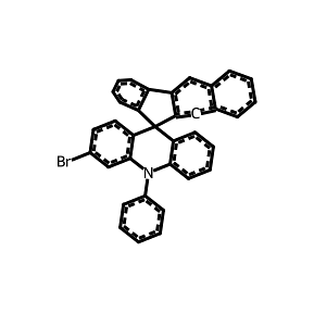 Brc1ccc2c(c1)N(c1ccccc1)c1ccccc1C21c2ccccc2-c2cc3ccccc3cc21